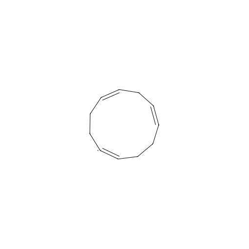 [C]1=C\CC/C=C\C/C=C\CC/1